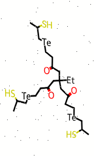 CCC(CC(=O)CC[Te]CC(C)S)(CC(=O)CC[Te]CC(C)S)CC(=O)CC[Te]CC(C)S